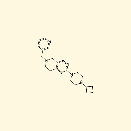 c1cncc(CN2CCc3nc(N4CCN(C5CCC5)CC4)ncc3C2)c1